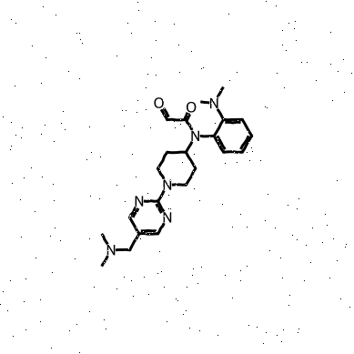 CN(C)Cc1cnc(N2CCC(N(C(=O)C=O)c3ccccc3N(C)C)CC2)nc1